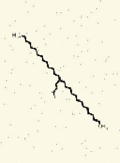 CCCCCCCCCCCCCCC(CC[CH]I)CCCCCCCCCCCCCC